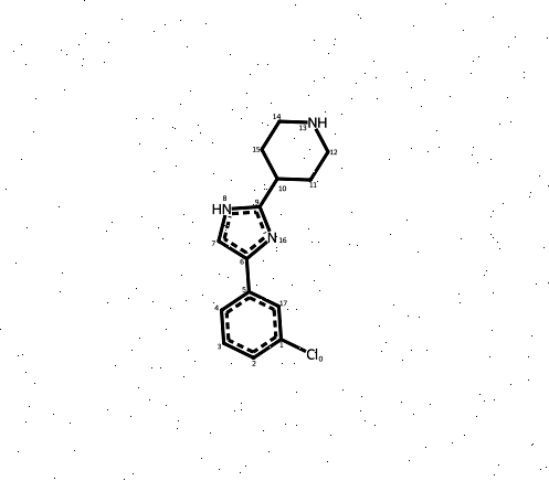 Clc1cccc(-c2c[nH]c(C3CCNCC3)n2)c1